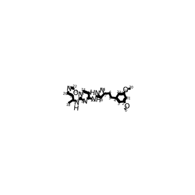 COc1cc(CCc2cc(Nc3ccnc(NC(C)c4cnco4)n3)[nH]n2)cc(OC)c1